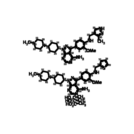 CC(=O)O.CC(=O)O.CC(=O)O.COc1cc(-c2nn([C@H]3CC[C@H](N4CCN(C)CC4)CC3)c3ncnc(N)c23)ccc1NCc1c[nH]nc1C.COc1cc(-c2nn([C@H]3CC[C@H](N4CCN(C)CC4)CC3)c3ncnc(N)c23)ccc1NCc1cccs1